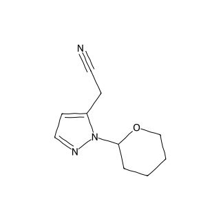 N#CCc1ccnn1C1CCCCO1